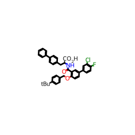 CC(C)(C)c1ccc(COc2ccc(-c3ccc(F)c(Cl)c3)cc2C(=O)N[C@@H](Cc2ccc(-c3ccccc3)cc2)C(=O)O)cc1